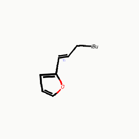 CCC(C)C/C=C/c1ccco1